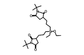 CCO[Si](CC)(CCCC1CC(=O)N(C(C)(C)C)C1=O)CCCC1CC(=O)N(C(C)(C)C)C1=O